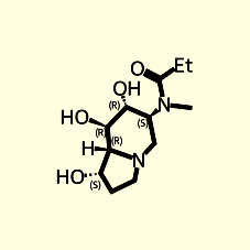 CCC(=O)N(C)[C@H]1CN2CC[C@H](O)[C@@H]2[C@@H](O)[C@@H]1O